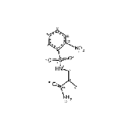 CC(CNS(=O)(=O)c1ccccc1[N+](=O)[O-])C(N)=O